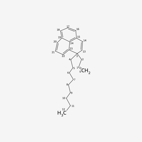 C=CCC1(CCCCCCCCC)C=Cc2cccc3cccc1c23